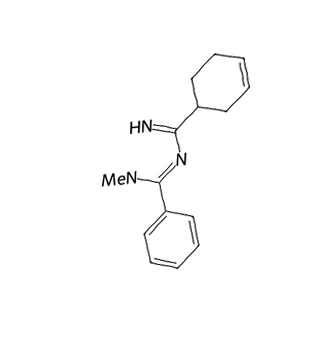 CN/C(=N\C(=N)C1CC=CCC1)c1ccccc1